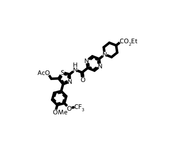 CCOC(=O)C1CCN(c2cnc(C(=O)Nc3nc(-c4ccc(OC)c(OC(F)(F)F)c4)c(COC(C)=O)s3)cn2)CC1